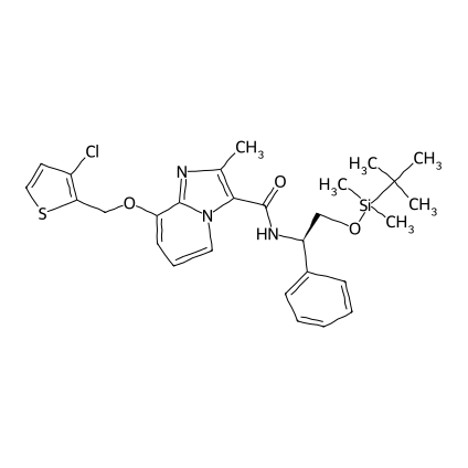 Cc1nc2c(OCc3sccc3Cl)cccn2c1C(=O)N[C@@H](CO[Si](C)(C)C(C)(C)C)c1ccccc1